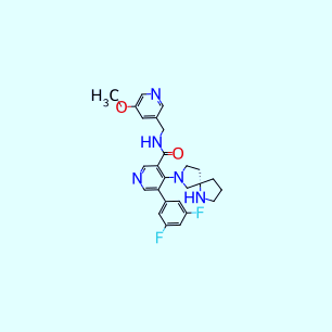 COc1cncc(CNC(=O)c2cncc(-c3cc(F)cc(F)c3)c2N2CC[C@@]3(CCCN3)C2)c1